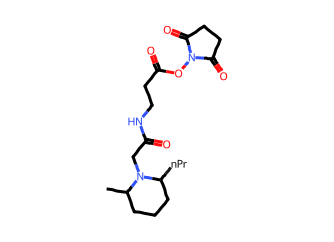 CCCC1CCCC(C)N1CC(=O)NCCC(=O)ON1C(=O)CCC1=O